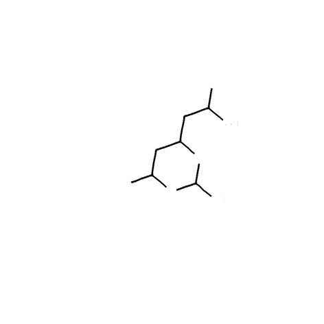 CCC1CC(CC(C)O)OC(S)O1